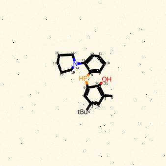 Cc1cc(C(C)(C)C)cc(Pc2ccccc2N2CCCCC2)c1O